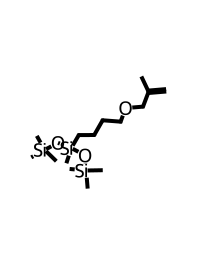 C=C(C)COCCCC[Si](C)(O[Si](C)(C)C)O[Si](C)(C)C